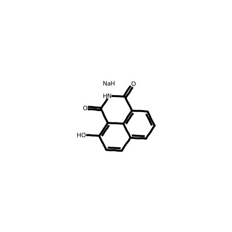 O=C1NC(=O)c2c(O)ccc3cccc1c23.[NaH]